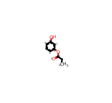 C[CH]C(=O)Oc1cccc(O)c1